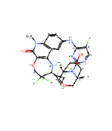 Cn1c(=O)c2c(c3cc(Nc4nc(N5[C@@H]6COC[C@H]5CC(O)C6)ncc4F)ccc31)N[C@@H](C1CC1)C(F)(F)CO2